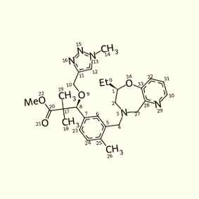 CC[C@@H]1CN(Cc2cc([C@H](OCc3cn(C)nn3)C(C)(C)C(=O)OC)ccc2C)Cc2ncccc2O1